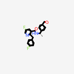 C[C@H](NC(=O)c1cc(F)cnc1Cc1ccc(F)cc1)c1ccc(C=O)cc1